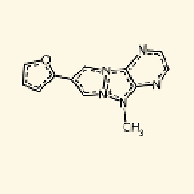 Cn1c2nccnc2n2cc(-c3ccco3)c[n+]12